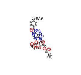 COc1ccc(C(=O)Nc2ncnc3c2ncn3[C@@H]2O[C@H](COC(=O)CCC(C)=O)[C@@H](O)[C@H]2OC2CCCO2)cc1